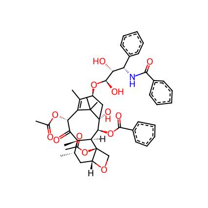 CC(=O)O[C@H]1C(=O)[C@@]2(C)[C@@H](C)C[C@H]3OC[C@@]3(OC(C)=O)[C@@H]2[C@H](OC(=O)c2ccccc2)[C@]2(O)C[C@H](O[C@H](O)[C@H](O)[C@@H](NC(=O)c3ccccc3)c3ccccc3)C(C)=C1C2(C)C